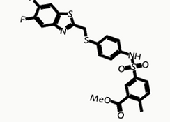 COC(=O)c1cc(S(=O)(=O)Nc2ccc(SCc3nc4cc(F)c(F)cc4s3)cc2)ccc1C